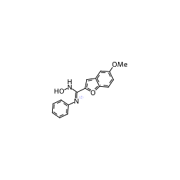 COc1ccc2oc(/C(=N/c3ccccc3)NO)cc2c1